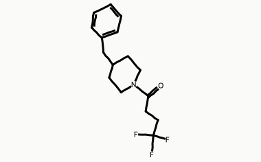 O=C(CCC(F)(F)F)N1CCC(Cc2ccccc2)CC1